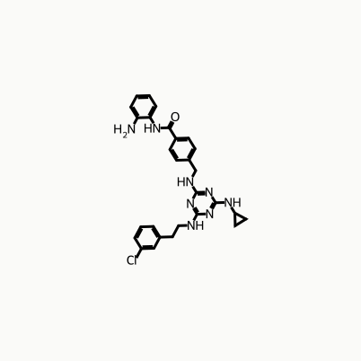 Nc1ccccc1NC(=O)c1ccc(CNc2nc(NCCc3cccc(Cl)c3)nc(NC3CC3)n2)cc1